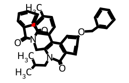 Cc1ccc(-c2c(CN3C(=O)c4ccccc4C3=O)n(CC(C)C)c(=O)c3ccc(OCc4ccccc4)cc23)cc1